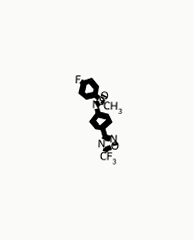 CS(=O)(=Nc1ccc(-c2noc(C(F)(F)F)n2)cc1)c1ccc(F)cc1